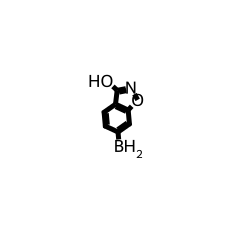 Bc1ccc2c(O)noc2c1